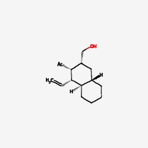 C=C[C@H]1[C@@H]2CCCC[C@H]2C[C@@H](CO)[C@H]1C(C)=O